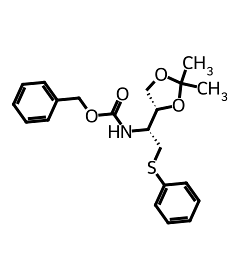 CC1(C)OC[C@@H]([C@H](CSc2ccccc2)NC(=O)OCc2ccccc2)O1